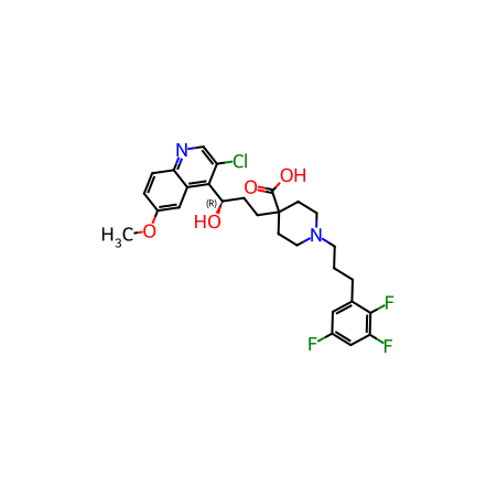 COc1ccc2ncc(Cl)c([C@H](O)CCC3(C(=O)O)CCN(CCCc4cc(F)cc(F)c4F)CC3)c2c1